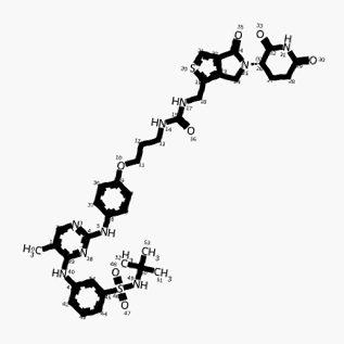 Cc1cnc(Nc2ccc(OCCCNC(=O)NCc3scc4c3CN([C@H]3CCC(=O)NC3=O)C4=O)cc2)nc1Nc1cccc(S(=O)(=O)NC(C)(C)C)c1